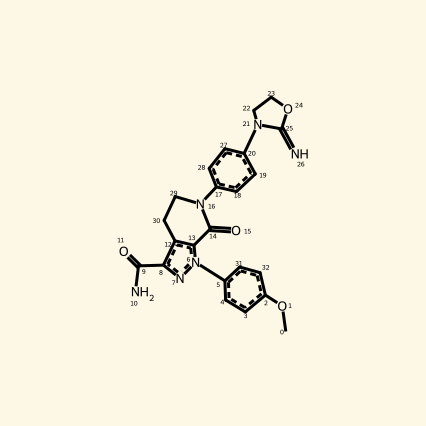 COc1ccc(-n2nc(C(N)=O)c3c2C(=O)N(c2ccc(N4CCOC4=N)cc2)CC3)cc1